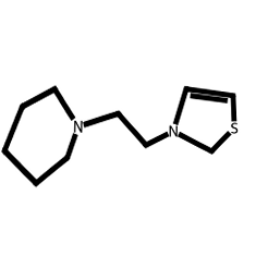 C1=CN(CCN2CCCCC2)CS1